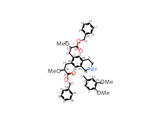 COc1ccc(C[C@H]2NCCc3cc(CC(OC)C(=O)OCc4ccccc4)c(CC(OC)C(=O)OCc4ccccc4)cc32)cc1OC